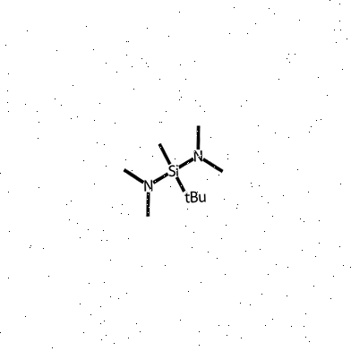 CN(C)[Si](C)(N(C)C)C(C)(C)C